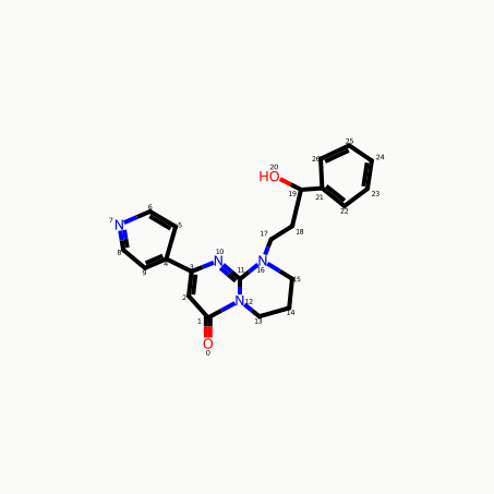 O=c1cc(-c2ccncc2)nc2n1CCCN2CCC(O)c1ccccc1